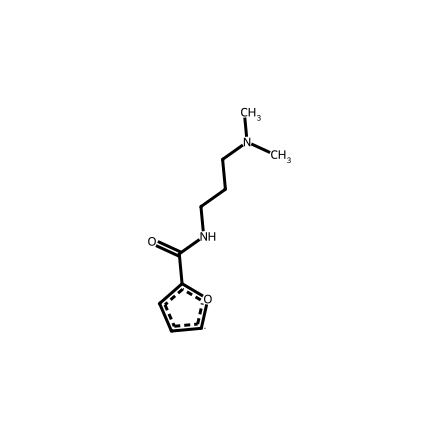 CN(C)CCCNC(=O)c1cc[c]o1